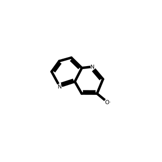 [O]c1cnc2cccnc2c1